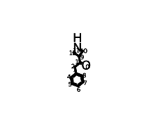 O=C(Cc1ccccc1)C1CNC1